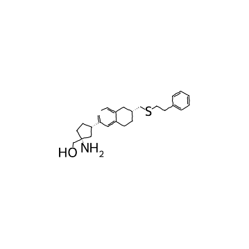 C=C(/C=C1/CC[C@@H](CSCCc2ccccc2)C/C1=C/C)[C@H]1CC[C@](N)(CO)C1